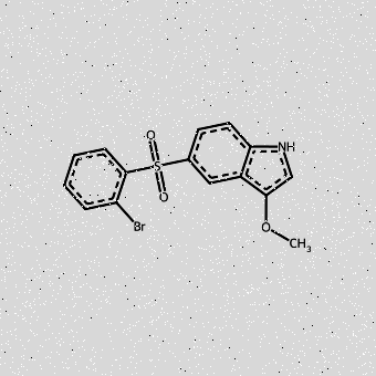 COc1c[nH]c2ccc(S(=O)(=O)c3ccccc3Br)cc12